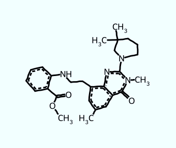 COC(=O)c1ccccc1NCCc1cc(C)cc2c(=O)n(C)c(N3CCCC(C)(C)C3)nc12